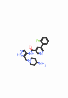 NC1CCN(Cc2[nH]ncc2NC(=O)c2cncc(-c3ccccc3F)c2)CC1